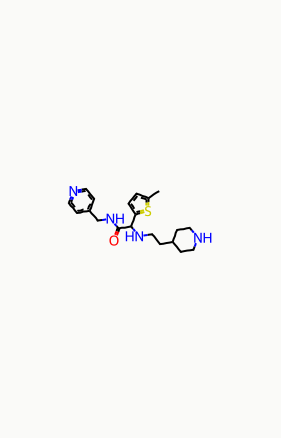 Cc1ccc(C(NCCC2CCNCC2)C(=O)NCc2ccncc2)s1